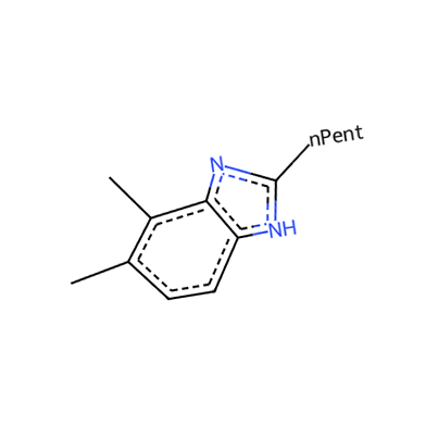 CCCCCc1nc2c(C)c(C)ccc2[nH]1